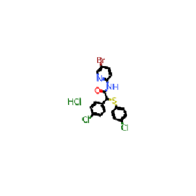 Cl.O=C(Nc1ccc(Br)cn1)C(Sc1ccc(Cl)cc1)c1ccc(Cl)cc1